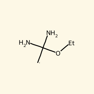 [CH2]C(N)(N)OCC